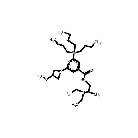 CCC[CH2][Sn]([CH2]CCC)([CH2]CCC)[c]1cc(C(=O)NCC(C)N(CC)CC)cc(N2CC(OC)C2)n1